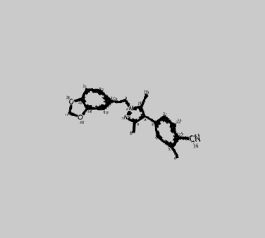 Cc1cc(-c2c(C)nn(Cc3ccc4c(c3)OCO4)c2C)ccc1C#N